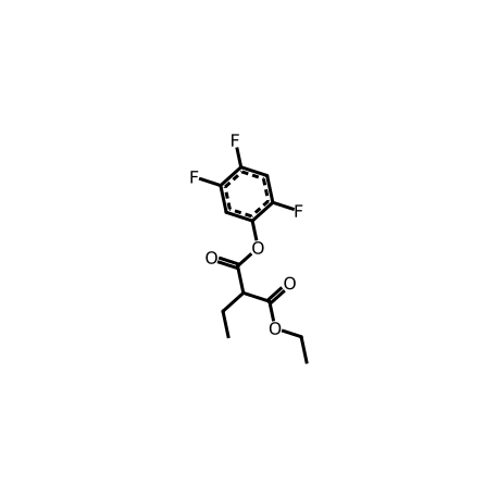 CCOC(=O)C(CC)C(=O)Oc1cc(F)c(F)cc1F